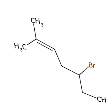 [CH2]CC(Br)CC=C(C)C